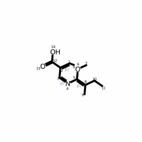 C\C=C(/C=N\C(OC)=C(/C)CC)C(=O)O